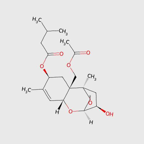 CC(=O)OC[C@]12C[C@H](OC(=O)CC(C)C)C(C)=C[C@H]1O[C@@H]1[C@H](O)C[C@@]2(C)[C@]12CO2